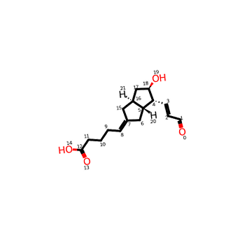 O=CC=C[C@@H]1[C@@H]2C/C(=C/CCCC(=O)O)C[C@H]2C[C@H]1O